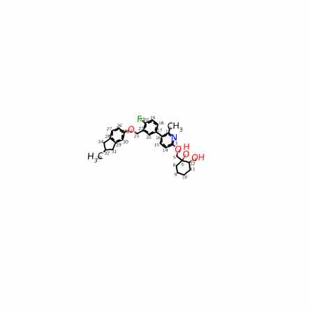 Cc1nc(OCC2(O)CCCCC2O)ccc1-c1ccc(F)c(COc2ccc3c(c2)CC(C)C3)c1